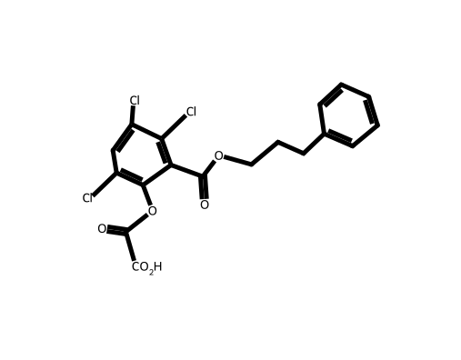 O=C(O)C(=O)Oc1c(Cl)cc(Cl)c(Cl)c1C(=O)OCCCc1ccccc1